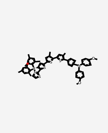 COc1ccc(N(c2ccc(OC)cc2)c2ccc(-c3sc(-c4sc(-c5cc6c(s5)-c5scc[n+]5[B-]6(c5c(C)cc(C)cc5C)c5c(C)cc(C)cc5C)cc4C)cc3C)cc2)cc1